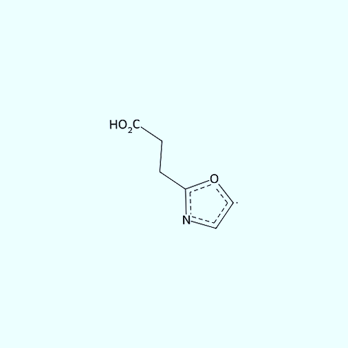 O=C(O)CCc1nc[c]o1